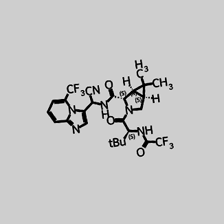 CC(C)(C)[C@H](NC(=O)C(F)(F)F)C(=O)N1C[C@H]2[C@@H]([C@H]1C(=O)NC(C#N)c1cnc3cccc(C(F)(F)F)n13)C2(C)C